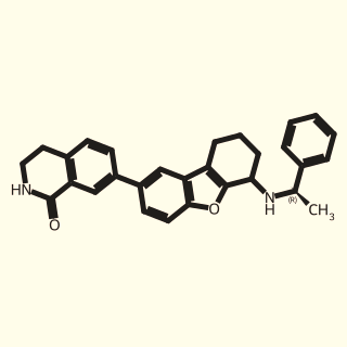 C[C@@H](NC1CCCc2c1oc1ccc(-c3ccc4c(c3)C(=O)NCC4)cc21)c1ccccc1